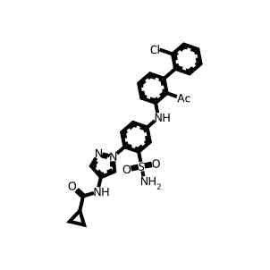 CC(=O)c1c(Nc2ccc(-n3cc(NC(=O)C4CC4)cn3)c(S(N)(=O)=O)c2)cccc1-c1ccccc1Cl